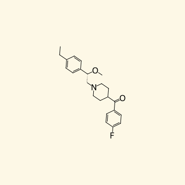 CCc1ccc([C@@H](CN2CCC(C(=O)c3ccc(F)cc3)CC2)OC)cc1